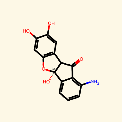 Nc1cccc2c1C(=O)C1c3cc(O)c(O)cc3O[C@]21O